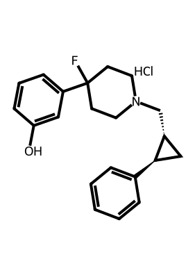 Cl.Oc1cccc(C2(F)CCN(C[C@@H]3C[C@H]3c3ccccc3)CC2)c1